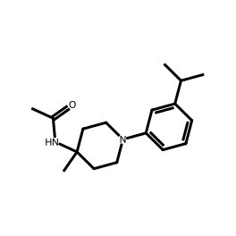 CC(=O)NC1(C)CCN(c2cccc(C(C)C)c2)CC1